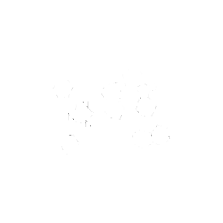 c1ccc(-c2nc(-c3ccccc3)nc(-c3ccc(-c4c5c(cc6oc7ccccc7c46)-c4cccc6cccc-5c46)c4ccccc34)n2)cc1